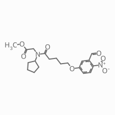 COC(=O)CN(C(=O)CCCCOc1ccc([N+](=O)[O-])c(C=O)c1)C1CCCC1